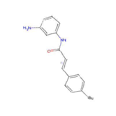 CC(C)(C)c1ccc(/C=C/C(=O)Nc2cccc(N)c2)cc1